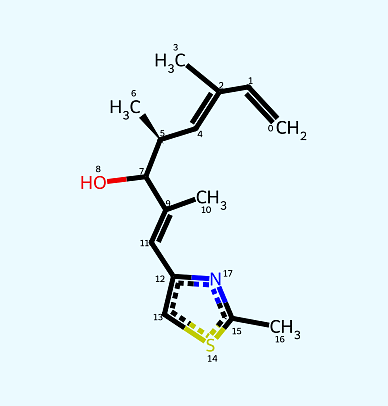 C=C/C(C)=C/[C@H](C)C(O)/C(C)=C/c1csc(C)n1